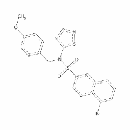 COc1ccc(CN(c2ncns2)S(=O)(=O)c2ccc3c(Br)cccc3c2)cc1